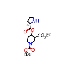 CCOC(=O)C1CN(C(=O)OC(C)(C)C)CCC1OC(=O)[C@@H]1CCCN1